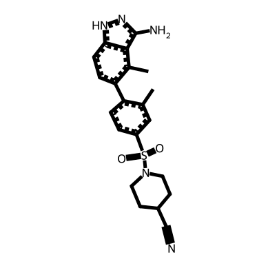 Cc1cc(S(=O)(=O)N2CCC(C#N)CC2)ccc1-c1ccc2[nH]nc(N)c2c1C